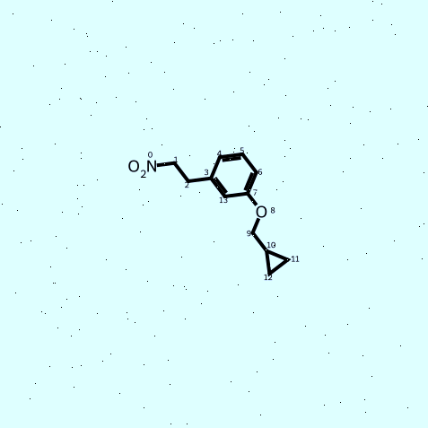 O=[N+]([O-])CCc1cccc(OCC2CC2)c1